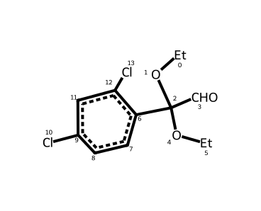 CCOC(C=O)(OCC)c1ccc(Cl)cc1Cl